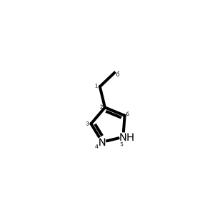 [CH2]Cc1cn[nH]c1